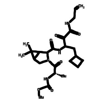 C=CCNC(=O)C(=O)C(CC1CCC1)NC(=O)C1C2C(CN1C(=O)[C@@H](NC(=O)OC(C)(C)C)C(C)(C)C)C2(C)C